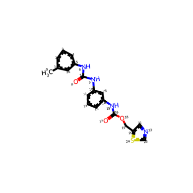 Cc1cccc(NC(=O)Nc2cccc(NC(=O)OCc3cncs3)c2)c1